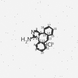 Cl.Nc1ncc2n1-c1ccccc1C=C1C=CC=CC12